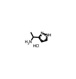 CC(N)c1cc[nH]n1.Cl